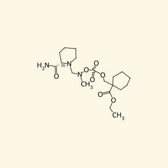 CCOC(=O)C1(COS(=O)(=O)ON(C)CN2CCCC[C@H]2C(N)=O)CCCCC1